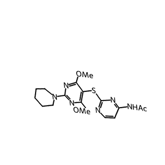 COc1nc(N2CCCCC2)nc(OC)c1Sc1nccc(NC(C)=O)n1